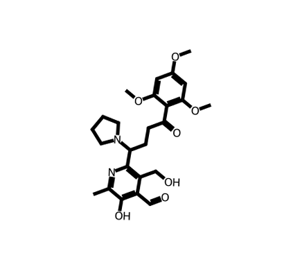 COc1cc(OC)c(C(=O)CCC(c2nc(C)c(O)c(C=O)c2CO)N2CCCC2)c(OC)c1